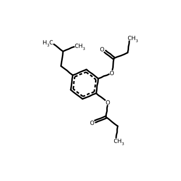 CCC(=O)Oc1ccc(CC(C)C)cc1OC(=O)CC